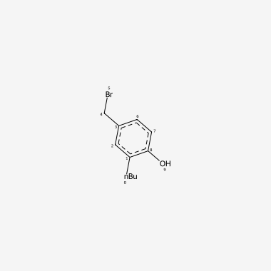 CCCCc1cc(CBr)ccc1O